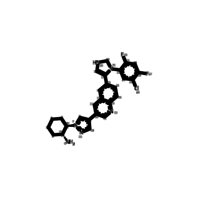 N[C@@H]1CCCC[C@H]1n1cc(-c2cnc3ccc(C4=CNCN4c4cc(Cl)c(F)cc4F)cc3c2)cn1